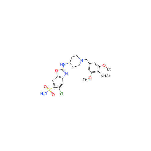 CCOc1cc(CN2CCC(Nc3nc4cc(Cl)c(S(N)(=O)=O)cc4o3)CC2)cc(OCC)c1NC(C)=O